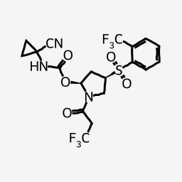 N#CC1(NC(=O)O[C@H]2C[C@@H](S(=O)(=O)c3ccccc3C(F)(F)F)CN2C(=O)CC(F)(F)F)CC1